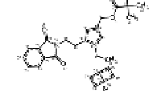 CC[n+]1cn(COC(=O)C(C)(C)C)cc1CCN1C(=O)c2ccccc2C1=O.[Br-].c1cc2ccc1-2